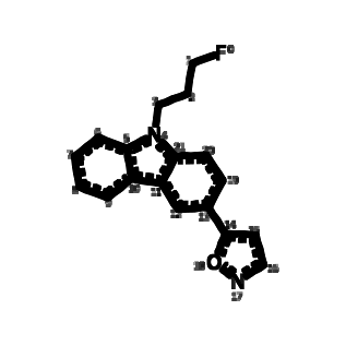 FCCCn1c2ccccc2c2cc(-c3ccno3)ccc21